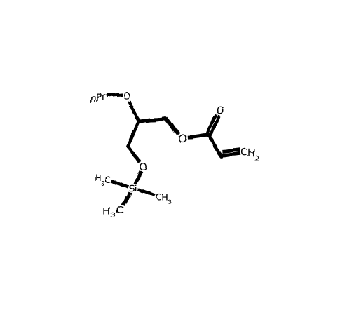 C=CC(=O)OCC(CO[Si](C)(C)C)OCCC